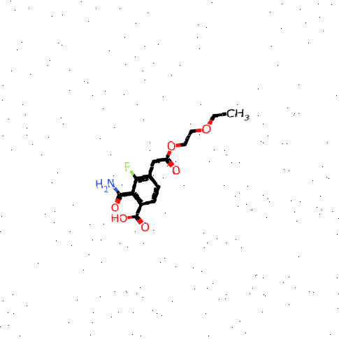 CCOCCOC(=O)Cc1ccc(C(=O)O)c(C(N)=O)c1F